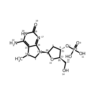 CN1CN([C@H]2C[C@H](OP(=O)(O)O)[C@@H](CO)O2)c2nc(=O)[nH]c(N)c21